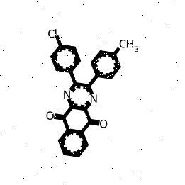 Cc1ccc(-c2nc3c(nc2-c2ccc(Cl)cc2)C(=O)c2ccccc2C3=O)cc1